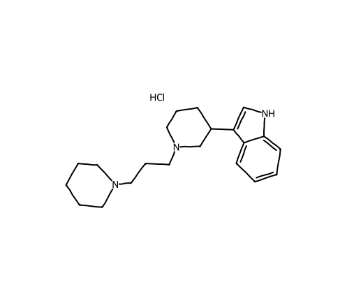 Cl.c1ccc2c(C3CCCN(CCCN4CCCCC4)C3)c[nH]c2c1